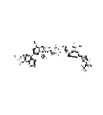 COc1cc(-c2cn(C)c(=O)c3cnccc23)cc(F)c1CN1CCC(N(C)C(=O)C2CCN(c3ccc(NC4CCC(=O)NC4=O)cc3C(F)(F)F)CC2)CC1